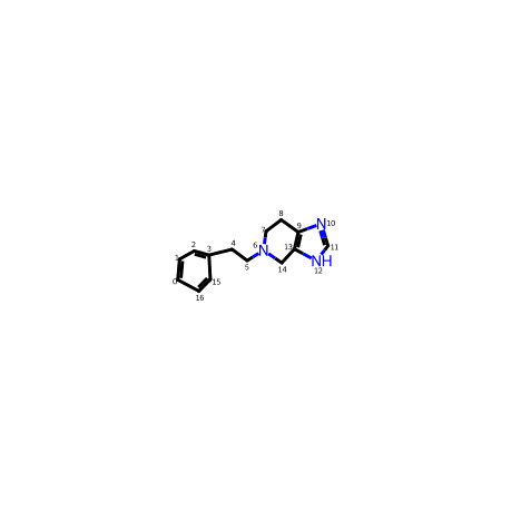 c1ccc(CCN2CCc3nc[nH]c3C2)cc1